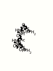 CC(=O)C(CC(=O)NC(C)NC(=O)C(C)N1C(=O)CC(SB(P)I)C1=O)CC(=O)NC(C)NC(=O)C(C)N1C(=O)CC(SB(P)I)C1=O